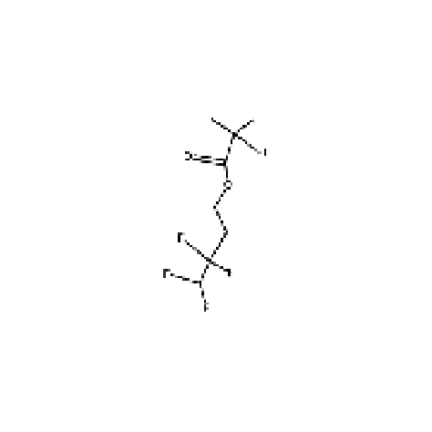 CCC(C)(C)C(=O)OCCC(F)(F)C(F)F